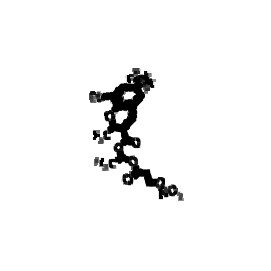 CCc1cc(S(F)(F)(F)(F)F)cc2c1OC(C(F)(F)F)C(C(=O)OC(C)OC(=O)CCO[N+](=O)[O-])=C2